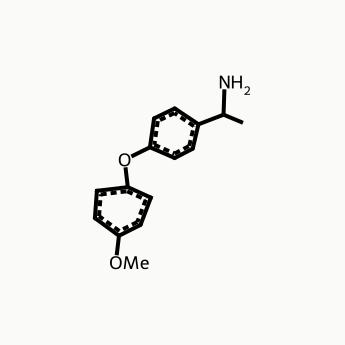 COc1ccc(Oc2ccc(C(C)N)cc2)cc1